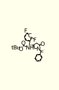 C[C@H](c1ccccc1)N1C[C@H](C(NC(=O)OC(C)(C)C)c2ccc(F)cc2F)CC1=O